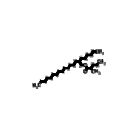 CCCCCCCCCCCCCCC(CCCCCC)COC(=O)C(C)CCC